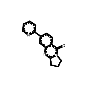 O=c1c2ccc(-c3ccccn3)cc2nc2n1CCC2